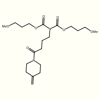 C=C1CCN(C(=O)CCCN(C(=O)OCCCOC)C(=O)OCCCOC)CC1